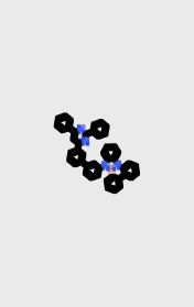 c1ccc(-c2cc(-c3cccc(-c4cccc(N5B6c7ccccc7-c7ccccc7N6c6ccccc65)c4)c3)nc(-c3ccccc3)n2)cc1